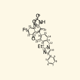 CCc1nc(-c2ccccc2)cn1Cc1ccc2c(c1)COc1cc(F)ccc1/C2=C(/C)c1noc(=O)[nH]1